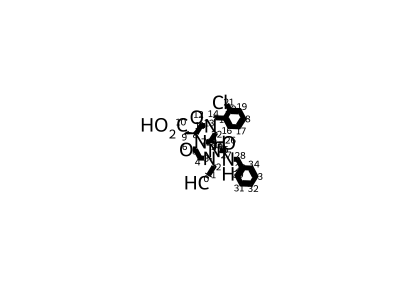 C#CCN1CC(=O)N2[C@@H](CC(=O)O)C(=O)N(Cc3ccccc3Cl)C[C@@H]2N1C(=O)NCc1ccccc1